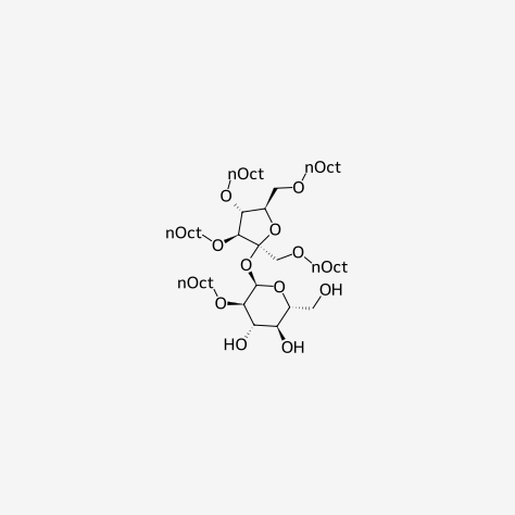 CCCCCCCCOC[C@H]1O[C@@](COCCCCCCCC)(O[C@H]2O[C@H](CO)[C@@H](O)[C@H](O)[C@H]2OCCCCCCCC)[C@@H](OCCCCCCCC)[C@@H]1OCCCCCCCC